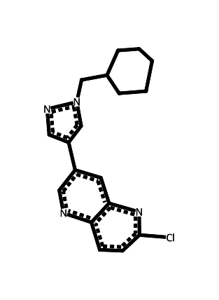 Clc1ccc2ncc(-c3cnn(CC4CCCCC4)c3)cc2n1